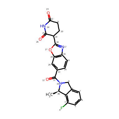 C[C@@H]1c2c(F)cccc2CN1C(=O)c1ccc2nc(C3CCC(=O)NC3=O)oc2c1